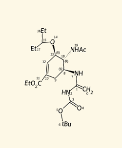 C=C(NC(=O)OC(C)(C)C)N[C@H]1CC(C(=O)OCC)=C[C@@H](OC(CC)CC)[C@@H]1NC(C)=O